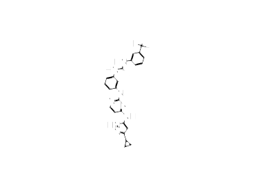 O[C@H](Nc1cccc(Nc2nccc(Nc3cc(C4CC4)n[nH]3)n2)c1)Nc1cccc(C(F)(F)F)c1